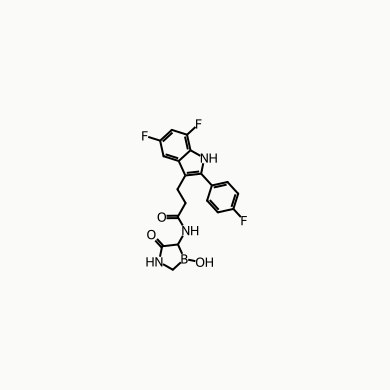 O=C(CCc1c(-c2ccc(F)cc2)[nH]c2c(F)cc(F)cc12)NC1B(O)CNC1=O